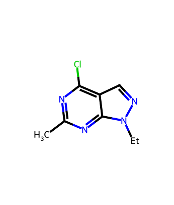 CCn1ncc2c(Cl)nc(C)nc21